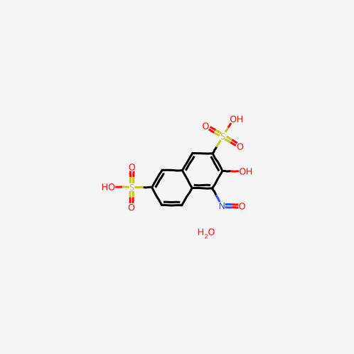 O.O=Nc1c(O)c(S(=O)(=O)O)cc2cc(S(=O)(=O)O)ccc12